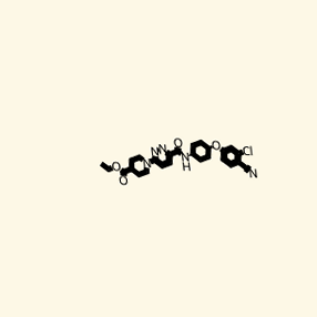 CCOC(=O)C1CCN(c2ccc(C(=O)N[C@H]3CC[C@H](Oc4ccc(C#N)c(Cl)c4)CC3)nn2)CC1